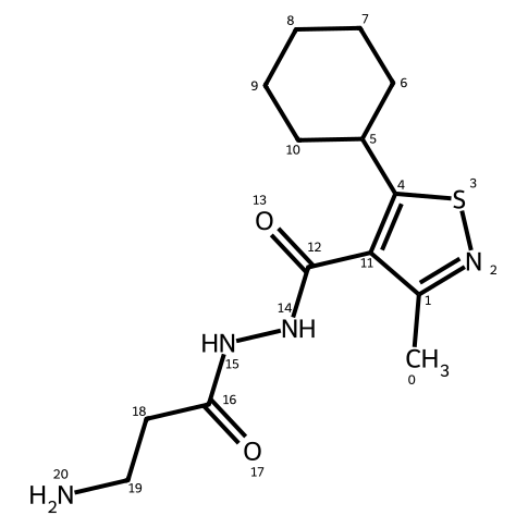 Cc1nsc(C2CCCCC2)c1C(=O)NNC(=O)CCN